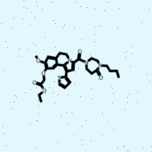 CCCCN1CCN(C(=O)c2cc(-c3cccs3)c3n2CCc2cc(OC)c(OCC(=O)OCC)cc2-3)CCC1=O